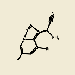 N#CC(N)c1cnn2cc(F)cc(Br)c12